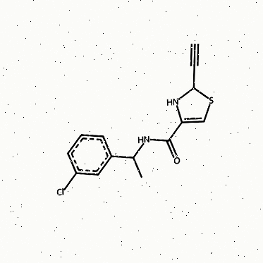 C#CC1NC(C(=O)NC(C)c2cccc(Cl)c2)=CS1